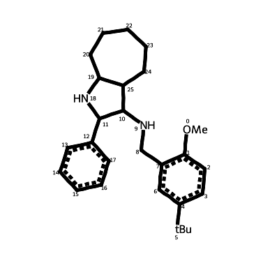 COc1ccc(C(C)(C)C)cc1CNC1C(c2ccccc2)NC2CCCCCC21